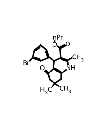 CCCOC(=O)C1=C(C)NC2=C(C(=O)CC(C)(C)C2)C1c1cccc(Br)c1